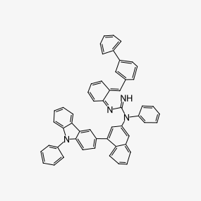 N=C(/N=C1/C=CC=C/C1=C\c1cccc(-c2ccccc2)c1)N(c1ccccc1)c1cc(-c2ccc3c(c2)c2ccccc2n3-c2ccccc2)c2ccccc2c1